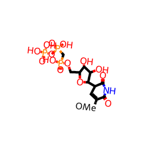 COC1=CC(C2OC(COP(=O)(O)CP(=O)(O)OP(=O)(O)O)C(O)C2O)C(=O)NC1=O